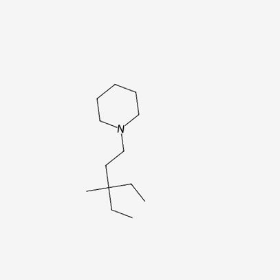 CCC(C)(CC)CCN1CCCCC1